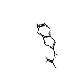 CC(=O)Oc1cc2ncncc2s1